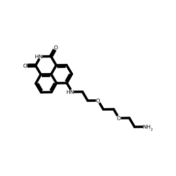 NCCOCCOCCNc1ccc2c3c(cccc13)C(=O)NC2=O